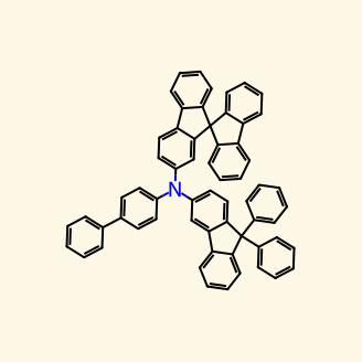 c1ccc(-c2ccc(N(c3ccc4c(c3)-c3ccccc3C4(c3ccccc3)c3ccccc3)c3ccc4c(c3)C3(c5ccccc5-c5ccccc53)c3ccccc3-4)cc2)cc1